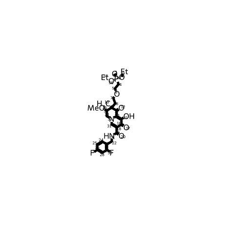 CCOP(=O)(CCOCCC1(C)C(=O)c2c(O)c(=O)c(C(=O)NCc3ccc(F)cc3F)cn2CC1OC)OCC